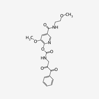 COCCNC(=O)c1cnc(OC(=O)NCC(=O)C(=O)c2ccccc2)c(OC)c1